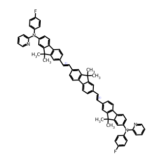 CC1(C)c2cc(/C=C/c3ccc4c(c3)C(C)(C)c3cc(N(c5ccc(F)cc5)c5ccccn5)ccc3-4)ccc2-c2ccc(/C=C/c3ccc4c(c3)C(C)(C)c3cc(N(c5ccc(F)cc5)c5ccccn5)ccc3-4)cc21